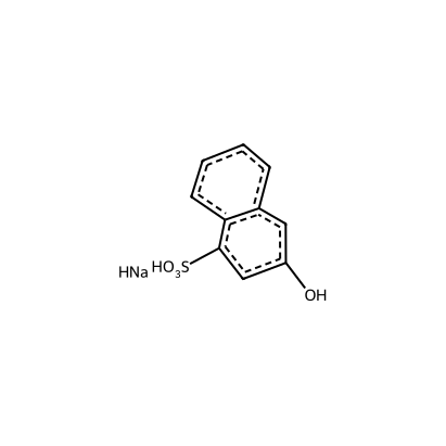 O=S(=O)(O)c1cc(O)cc2ccccc12.[NaH]